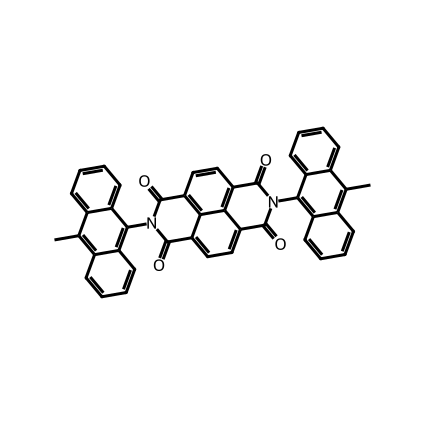 Cc1c2ccccc2c(N2C(=O)c3ccc4c5c(ccc(c35)C2=O)C(=O)N(c2c3ccccc3c(C)c3ccccc23)C4=O)c2ccccc12